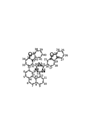 c1ccc2c(c1)ccc1cccc(-c3nc(-c4ccc5c(c4)oc4ccccc45)nc(-c4cccc5oc6ccccc6c45)n3)c12